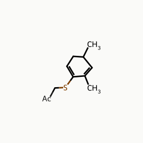 CC(=O)CSC1=CCC(C)C=C1C